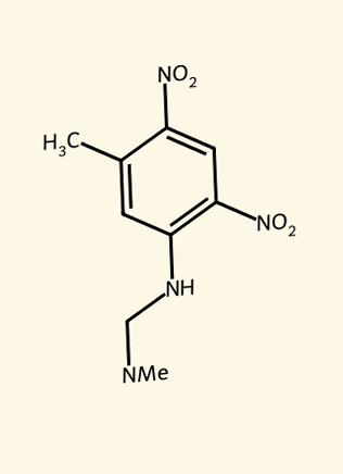 CNCNc1cc(C)c([N+](=O)[O-])cc1[N+](=O)[O-]